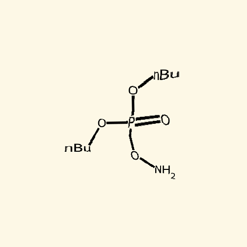 CCCCOP(=O)(ON)OCCCC